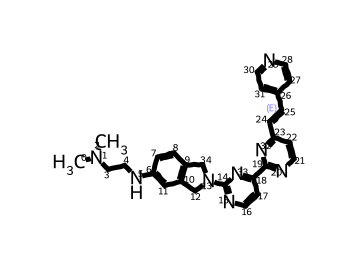 CN(C)CCNc1ccc2c(c1)CN(c1nccc(-c3nccc(/C=C/c4ccncc4)n3)n1)C2